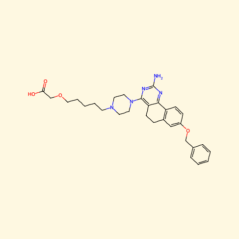 Nc1nc2c(c(N3CCN(CCCCCOCC(=O)O)CC3)n1)CCc1cc(OCc3ccccc3)ccc1-2